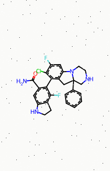 NC(=O)c1cc2c(c(F)c1-c1c(Cl)c(F)cc3c1CC1(c4ccccc4)CNCCN31)CCN2